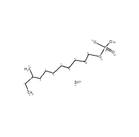 CCC(C)CCCCCCCCOP(=O)([O-])[O-].[Zn+2]